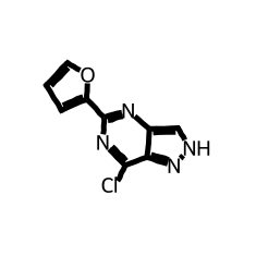 Clc1nc(-c2ccco2)nc2c[nH]nc12